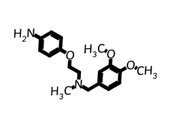 COc1ccc(CN(C)CCOc2ccc(N)cc2)cc1OC